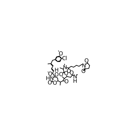 CNC(=O)CC(OC(=O)C(C)N(C)C(=O)CCCCCN1C(=O)CCC1=O)C1(C)OC1C(C)C1CC(O)(C(/C=C/C=C(\C)Cc2ccc(Cl)c(OC)c2)OC)NC(=O)O1